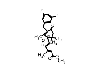 COC(=O)C=C(C)C=C[C@@]1(O)C(C)=C(Cc2cc(F)cc(F)c2)C(=O)CC1(C)C